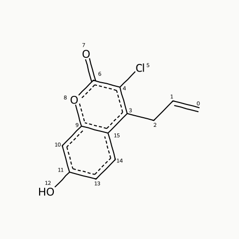 C=CCc1c(Cl)c(=O)oc2cc(O)ccc12